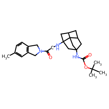 Cc1ccc2c(c1)CN(C(=O)CNC13CC4CC5CC(NC(=O)OC(C)(C)C)(C1)CC543)C2